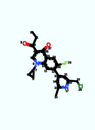 CCC(=O)c1cn(C2CC2)c2cc(-c3cc(C)nc(CCl)c3)c(F)cc2c1=O